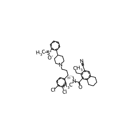 CCc1c(C#N)cc2c(c1C(=O)N(C)C[C@@H](CCN1CCC(c3ccccc3[S@+](C)[O-])CC1)c1ccc(Cl)c(Cl)c1)CCCC2